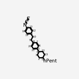 CCCCCC1CCC(c2ccc(CCc3ccc(N=C=S)cc3)cc2)CC1